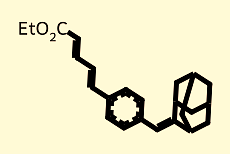 CCOC(=O)C=CC=Cc1ccc(C=C2C3CC4CC(C3)CC2C4)cc1